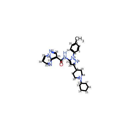 Cc1ccc(-n2nc(C3CCN(C4CCCCC4)CC3)cc2NC(=O)c2cnn3cccnc23)cc1